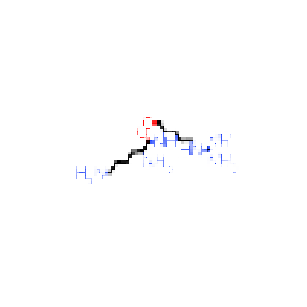 N=C(N)NCCC[C@@H]([C]=O)NC(=O)[C@@H](N)CCCCN